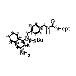 CCCCCCCC(=O)NCc1ccc(Cn2c(CCCC)nc3c(N)nc4c(c32)=CCCC=4)cc1